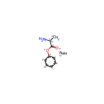 C[C@H](N)C(=O)Oc1ccccc1.[NaH]